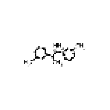 C=C(c1cccc(C)c1)[C@H](N)c1cccc(C)c1